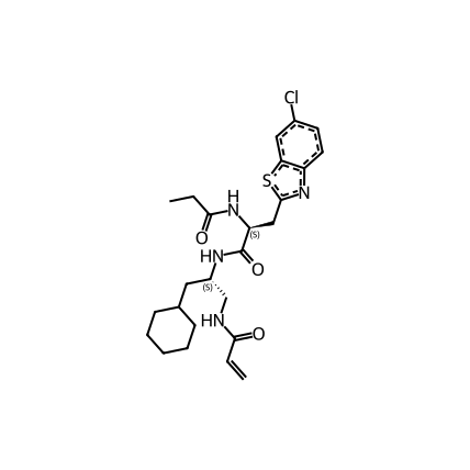 C=CC(=O)NC[C@H](CC1CCCCC1)NC(=O)[C@H](Cc1nc2ccc(Cl)cc2s1)NC(=O)CC